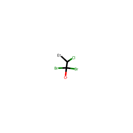 CCC(Cl)C([O])(Br)Br